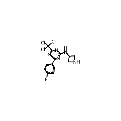 Fc1ccc(-c2nc(NC3CNC3)nc(C(Cl)(Cl)Cl)n2)cc1